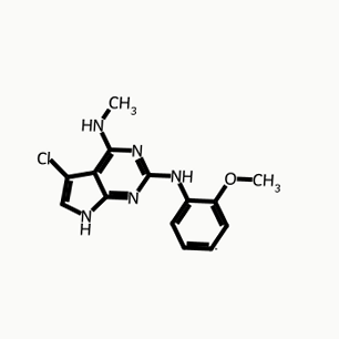 CNc1nc(Nc2cc[c]cc2OC)nc2[nH]cc(Cl)c12